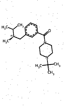 CC(C)[C@H](C)Cc1cccc(C(=O)N2CCN(C(C)(C)C)CC2)c1